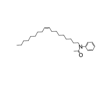 CCCCCCCC/C=C\CCCCCCCCN(C(C)=O)c1ccccc1